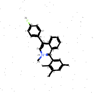 Cc1cc(C)c(C)c(-c2c3ccccc3c(-c3ccc(F)cc3)c[n+]2C)c1